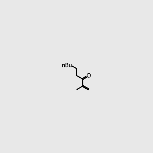 [CH2]CCCCCC(=O)C(=C)C